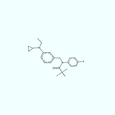 CCN(c1cccc(CN(C(=O)C(C)(C)C)c2ccc(F)cc2)c1)C1CC1